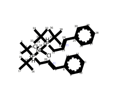 CC(C)(C)[PH](C/C=C/c1ccccc1)(C(C)(C)C)[Ni]([Cl])([Cl])[PH](C/C=C/c1ccccc1)(C(C)(C)C)C(C)(C)C